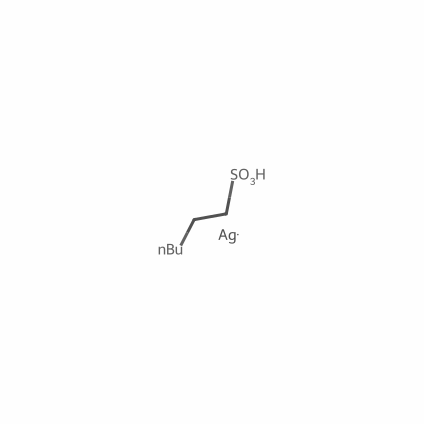 CCCCCCS(=O)(=O)O.[Ag]